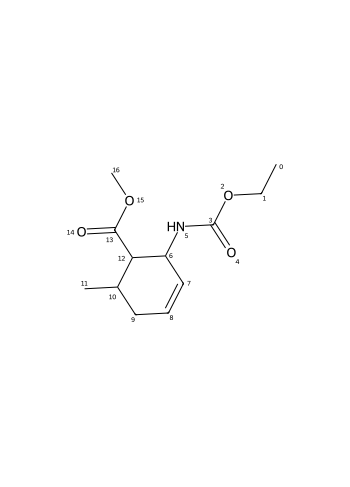 CCOC(=O)NC1C=CCC(C)C1C(=O)OC